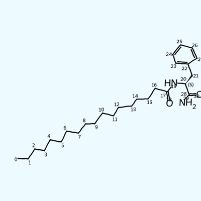 CCCCCCCCCCCCCCCCCC(=O)N[C@@H](Cc1ccccc1)C(N)=O